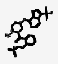 C[C@@H]1CC[C@@H](Oc2nccn3c(C(F)(F)F)cnc23)CN1C(=O)c1ccccc1CC[SH](=O)=O